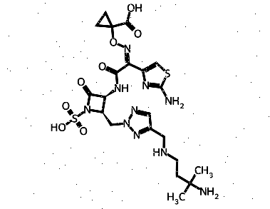 CC(C)(N)CCNCc1cnn(C[C@@H]2[C@H](NC(=O)/C(=N\OC3(C(=O)O)CC3)c3csc(N)n3)C(=O)N2S(=O)(=O)O)n1